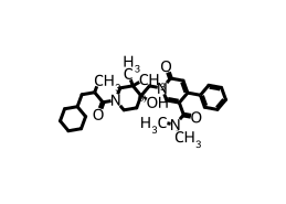 CC(CC1CCCCC1)C(=O)N1CC[C@@](O)(Cn2cc(C(=O)N(C)C)c(-c3ccccc3)cc2=O)C(C)(C)C1